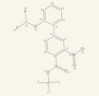 CC(C)(C)OC(=O)c1ccc(-c2ccccc2OC(F)F)cc1[N+](=O)[O-]